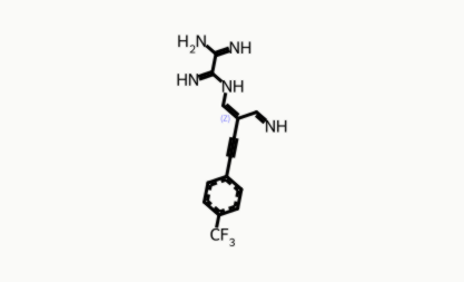 N=C/C(C#Cc1ccc(C(F)(F)F)cc1)=C\NC(=N)C(=N)N